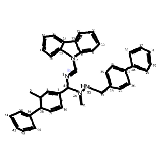 CC1C=C(C(/N=C/n2c3ccccc3c3ccccc32)N(C)NCc2ccc(-c3ccccc3)cc2)C=CC1c1ccccc1